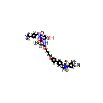 Cc1ncsc1-c1ccc(CNC(=O)[C@@H]2C[C@@H](O)CN2C(=O)C(NC(=O)COCCCCCOc2ccc(-c3ccc(N4C(=S)N(c5ccc(C#N)c(C(F)(F)F)c5)C(=O)C4(C)C)cc3)cc2)C(C)(C)C)cc1